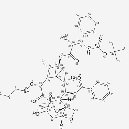 CCCBO[C@H]1C(=O)[C@]2(C)C(O)C[C@H]3OC[C@@]3(OC(C)=O)[C@H]2[C@H](OC(=O)c2ccccc2)[C@]2(O)C[C@H](OC(=O)[C@H](O)[C@@H](NC(=O)OC(C)(C)C)c3ccccc3)C(C)=C1C2(C)C